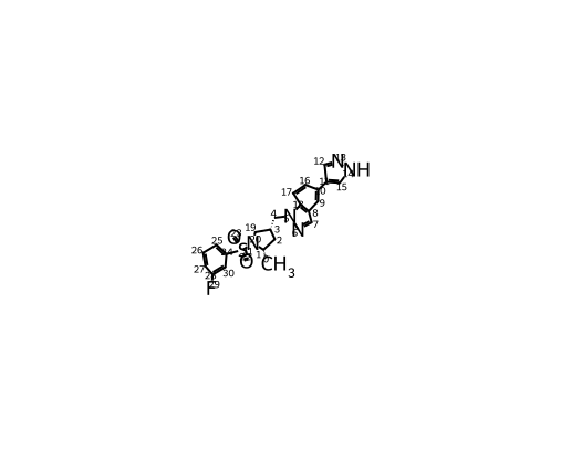 C[C@H]1C[C@@H](Cn2ncc3cc(-c4cn[nH]c4)ccc32)CN1S(=O)(=O)c1cccc(F)c1